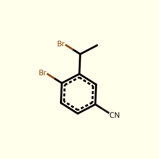 CC(Br)c1cc(C#N)ccc1Br